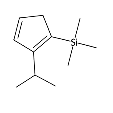 CC(C)C1=C([Si](C)(C)C)CC=C1